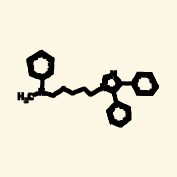 CN(CCCCCn1cnc(-c2ccccc2)c1-c1ccccc1)c1ccccc1